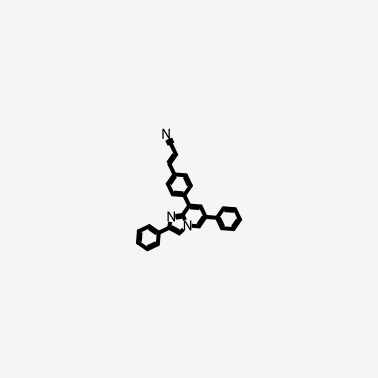 N#CC=Cc1ccc(-c2cc(-c3ccccc3)cn3cc(-c4ccccc4)nc23)cc1